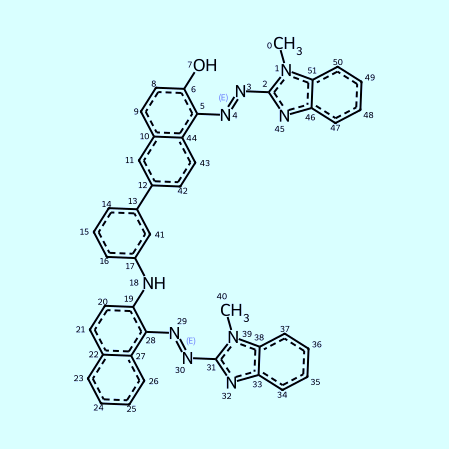 Cn1c(/N=N/c2c(O)ccc3cc(-c4cccc(Nc5ccc6ccccc6c5/N=N/c5nc6ccccc6n5C)c4)ccc23)nc2ccccc21